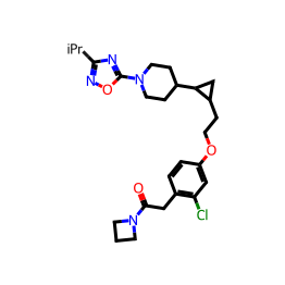 CC(C)c1noc(N2CCC(C3CC3CCOc3ccc(CC(=O)N4CCC4)c(Cl)c3)CC2)n1